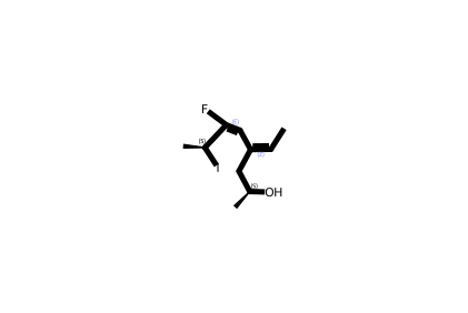 C/C=C(\C=C(\F)[C@H](C)I)C[C@H](C)O